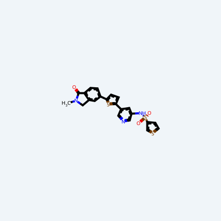 CN1Cc2cc(-c3ccc(-c4cncc(NS(=O)(=O)c5ccsc5)c4)s3)ccc2C1=O